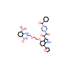 O=C(C(=O)N1CCN(C(=O)c2ccccc2)CC1)c1c[nH]c2c(-c3ccco3)ccc(OCCOCCNc3c([N+](=O)[O-])cccc3[N+](=O)[O-])c12